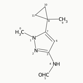 Cn1nc(NC=O)cc1C1(C)CC1